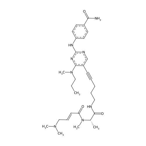 CCCN(C)c1nc(Nc2ccc(C(N)=O)cc2)ncc1C#CCCCNC(=O)[C@H](C)N(C)C(=O)/C=C/CN(C)C